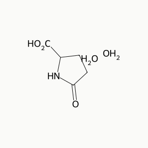 O.O.O=C1CCC(C(=O)O)N1